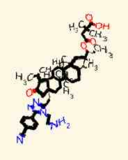 CC[C@H](CC[C@@]1(C)[C@H](C)CC[C@]2(C)[C@@H]1CC[C@@H]1C3=C(C(C)C)C(=O)C[C@]3(Cc3nnc(-c4ccc(C#N)cc4)n3CCN)CC[C@]12C)OC(=O)CC(C)(C)C(=O)O